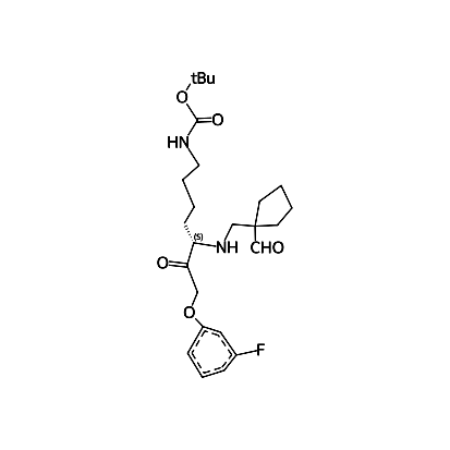 CC(C)(C)OC(=O)NCCCC[C@H](NCC1(C=O)CCCC1)C(=O)COc1cccc(F)c1